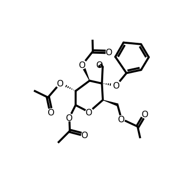 CC(=O)OC[C@H]1OC(OC(C)=O)[C@H](OC(C)=O)[C@@H](OC(C)=O)[C@]1(C=O)Oc1ccccc1